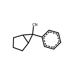 N#CC1(c2ccccc2)C2CCCC21